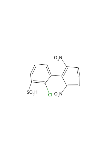 O=[N+]([O-])c1cccc([N+](=O)[O-])c1-c1cccc(S(=O)(=O)O)c1Cl